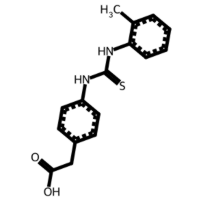 Cc1ccccc1NC(=S)Nc1ccc(CC(=O)O)cc1